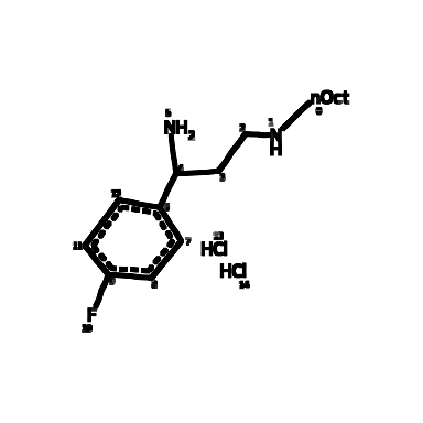 CCCCCCCCNCCC(N)c1ccc(F)cc1.Cl.Cl